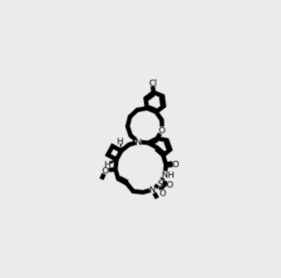 COC1/C=C/CCN(C)S(=O)(=O)NC(=O)c2ccc3c(c2)N(CCCCc2cc(Cl)ccc2CO3)C[C@@H]2CC[C@@H]12